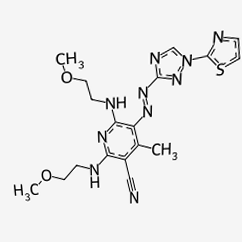 COCCNc1nc(NCCOC)c(/N=N/c2ncn(-c3nccs3)n2)c(C)c1C#N